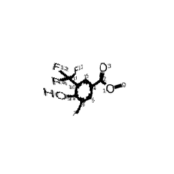 COC(=O)c1cc(C)c(O)c(C(F)(F)F)c1